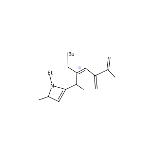 C=C(C)C(=C)/C=C(/CC(C)CC)C(C)C1=CC(C)N1CC